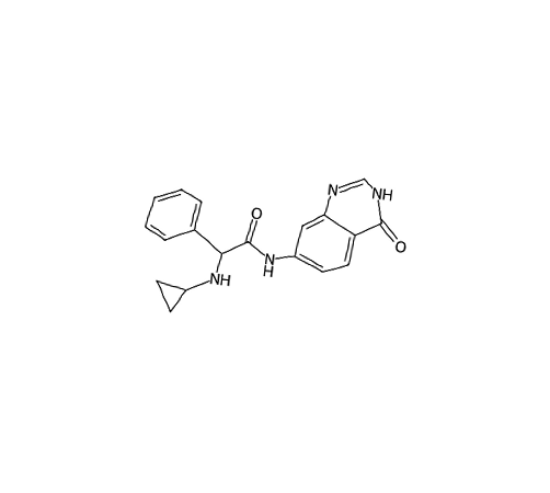 O=C(Nc1ccc2c(=O)[nH]cnc2c1)C(NC1CC1)c1ccccc1